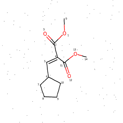 COC(=O)C(=CC1CCCC1)C(=O)OC